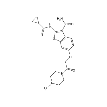 CN1CCN(C(=O)COc2ccc3c(C(N)=O)c(NC(=O)C4CC4)sc3c2)CC1